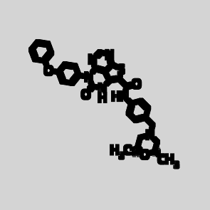 C[C@@H]1CN(Cc2ccc(NC(=O)c3sc4ncnc5c4c3NC(=O)N5c3ccc(Oc4ccccc4)cc3)cc2)C[C@H](C)O1